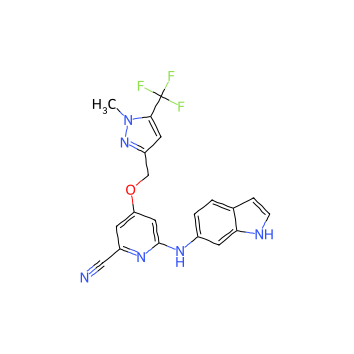 Cn1nc(COc2cc(C#N)nc(Nc3ccc4cc[nH]c4c3)c2)cc1C(F)(F)F